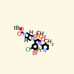 Cc1ccnc(C(C)C)c1-n1c(=O)c(S(C)(=O)=O)c(N2C[C@H]3CN(C(=O)OC(C)(C)C)C[C@H]3C2)c2cc(Cl)c(Br)c(F)c21